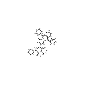 C=C(Nc1ccccc1)c1ccccc1C(=C)c1ccc(N(c2ccccc2)c2cccc3c2sc2ccccc23)cc1